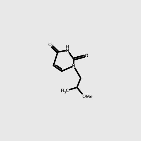 COC(C)Cn1ccc(=O)[nH]c1=O